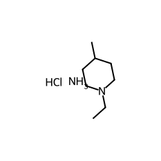 CCN1CCC(C)CC1.Cl.N